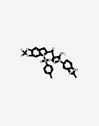 Cc1ccc(S(=O)(=O)n2c(C(=O)c3cnn(-c4ccc5[nH]c(C)nc5c4)c3N)cc3cc4c(cc32)OC(F)(F)O4)cc1